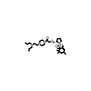 CCCN(CCC)CCN1CCN(C(=O)COC[C@@H]2CCCN2S(=O)(=O)C2(C)C(C)=CC(C)=CC2(C)C)CC1